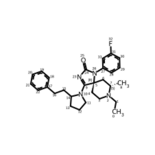 CCN1CC[C@@]2(C[C@@H]1C)C(N1CCCC1CCc1ccccc1)=NC(=O)N2c1cccc(F)c1